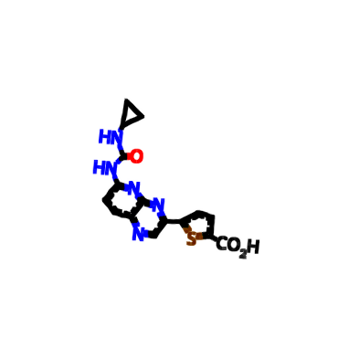 O=C(Nc1ccc2ncc(-c3ccc(C(=O)O)s3)nc2n1)NC1CC1